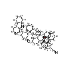 N#Cc1ccc2c(c1)c1ccccc1n2-c1ccc2c(c1)C1(c3ccccc3O2)c2cc(-n3c4ccccc4c4ccccc43)cnc2-c2ncc(-n3c4ccccc4c4ccncc43)cc21